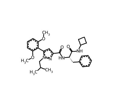 COc1cccc(OC)c1-c1cc(C(=O)N[C@@H](Cc2ccccc2)C(=O)NC2CCC2)nn1CC(C)C